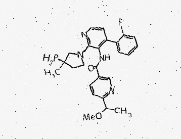 COC(C)c1ccc(C(=O)Nc2c(-c3ccccc3F)ccnc2N2CCC(C)(P)C2)cn1